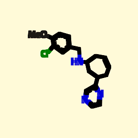 COc1ccc(CNC2CC=CCC(c3cnccn3)C2)cc1Cl